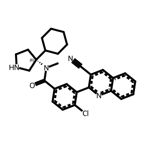 CN(C(=O)c1ccc(Cl)c(-c2nc3ccccc3cc2C#N)c1)[C@@]1(C2CCCCC2)CCNC1